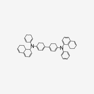 C1=CC(N(C2=CCCC=C2)C2=CC=C(C3=CC=C(N(c4ccccc4)c4cccc5c4CCC=C5)CC3)CC2)C2CCC=CC2=C1